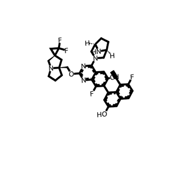 C#Cc1c(F)ccc2cc(O)cc(-c3c(C#N)cc4c(N5C[C@H]6CC[C@@H](C5)N6)nc(OC[C@@]56CCCN5C[C@]5(CC5(F)F)C6)nc4c3F)c12